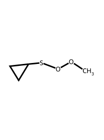 COOSC1CC1